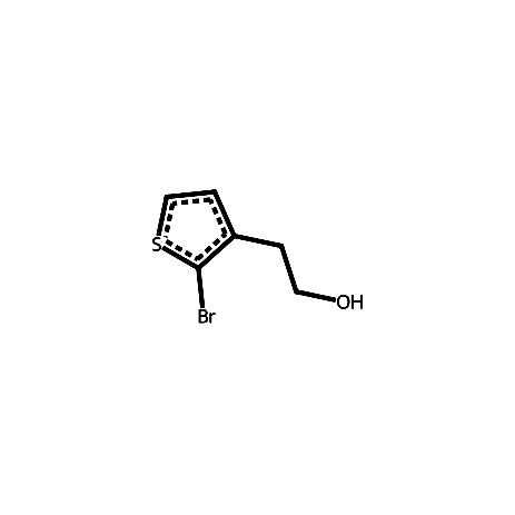 OCCc1ccsc1Br